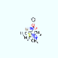 Cc1sc(-n2c(C)nnc2C(C)C)c(CNC(=O)OCc2ccccc2)c1Br